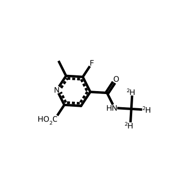 [2H]C([2H])([2H])NC(=O)c1cc(C(=O)O)nc(C)c1F